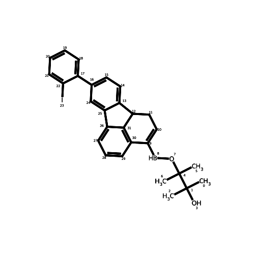 CC(C)(O)C(C)(C)OBC1=CCC2c3ccc(-c4ccccc4I)cc3-c3cccc1c32